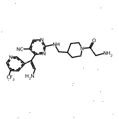 N#Cc1cnc(NCC2CCN(C(=O)CN)CC2)nc1/C(=C/N)c1cncc(C(F)(F)F)c1